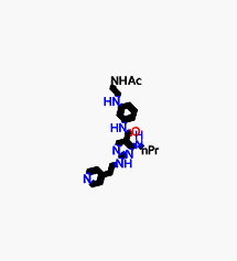 CCCNc1nc(NCCc2ccncc2)ncc1C(=O)Nc1cccc(NCCNC(C)=O)c1